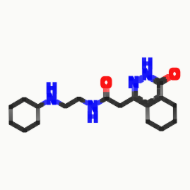 O=C(Cc1n[nH]c(=O)c2c1CCCC2)NCCNC1CCCCC1